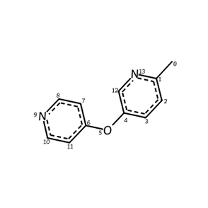 Cc1ccc(Oc2ccncc2)cn1